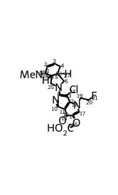 CN[C@@H]1C=CC[C@@H]2CN(c3ncc4c(=O)c(OC(=O)O)cn(CCF)c4c3Cl)C[C@@H]21